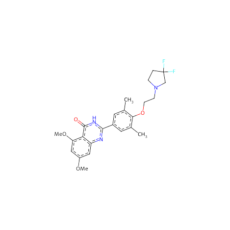 COc1cc(OC)c2c(=O)[nH]c(-c3cc(C)c(OCCN4CCC(F)(F)C4)c(C)c3)nc2c1